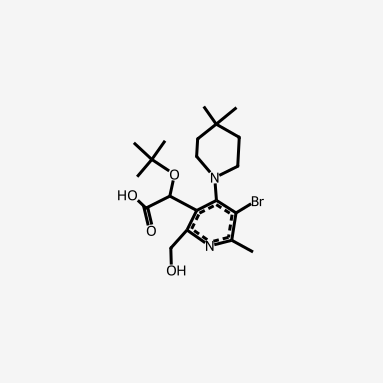 Cc1nc(CO)c(C(OC(C)(C)C)C(=O)O)c(N2CCC(C)(C)CC2)c1Br